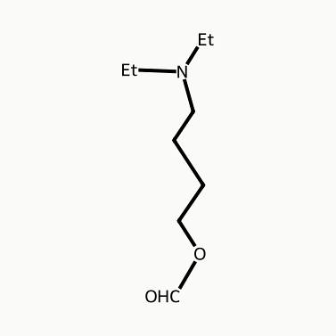 CCN(CC)CCCCOC=O